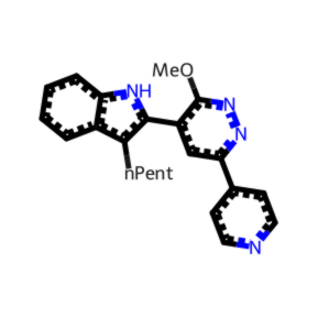 CCCCCc1c(-c2cc(-c3ccncc3)nnc2OC)[nH]c2ccccc12